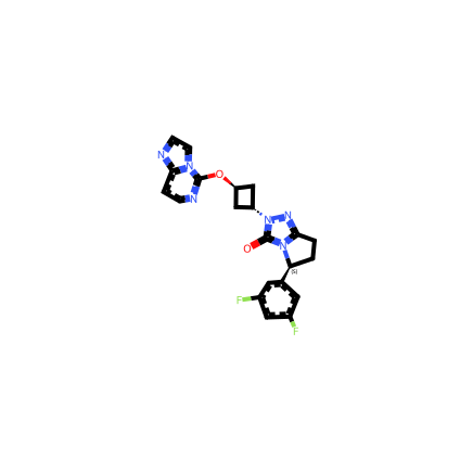 O=c1n2c(nn1[C@H]1C[C@H](Oc3nccc4nccn34)C1)CC[C@H]2c1cc(F)cc(F)c1